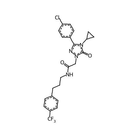 O=C(Cn1nc(-c2ccc(Cl)cc2)n(C2CC2)c1=O)NCCCc1ccc(C(F)(F)F)cc1